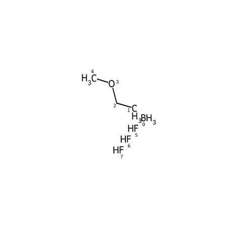 B.CCOC.F.F.F